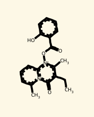 CCc1c(C)[n+](OC(=O)c2ccccc2O)c2cccc(C)n2c1=O